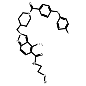 Cc1c(C(=O)NCCOC(C)C)ccc2nn(CC3CCN(C(=O)c4ccc(Oc5ccc(F)cc5)cc4)CC3)cc12